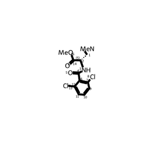 CNC[C@H](NC(=O)c1c(Cl)cccc1Cl)C(=O)OC